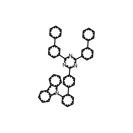 c1ccc(-c2cccc(-c3nc(-c4ccc(-c5ccccc5-n5c6ccccc6c6ccccc65)cc4)nc(-c4cccc(-c5ccccc5)c4)n3)c2)cc1